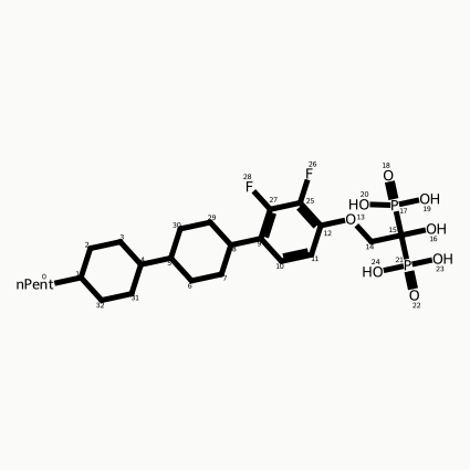 CCCCCC1CCC(C2CCC(c3ccc(OCC(O)(P(=O)(O)O)P(=O)(O)O)c(F)c3F)CC2)CC1